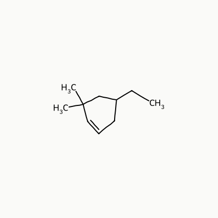 CCC1CC=CC(C)(C)C1